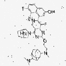 C#Cc1c(F)ccc2cc(O)cc(-c3ncc4c(N5CC6CCC(C5)N6)nc(OCCN(C)C5C6CC7CC5C(C6)C7N(C)C)nc4c3F)c12